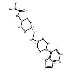 CN(C)C(=O)N[C@H]1CC[C@H](CCN2CCC(c3cccc4ccsc34)CC2)CC1